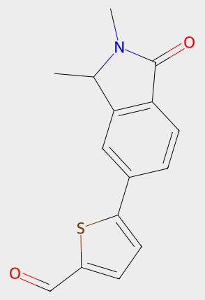 CC1c2cc(-c3ccc(C=O)s3)ccc2C(=O)N1C